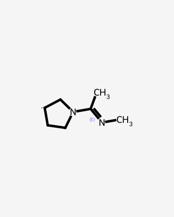 C/N=C(\C)N1C[CH]CC1